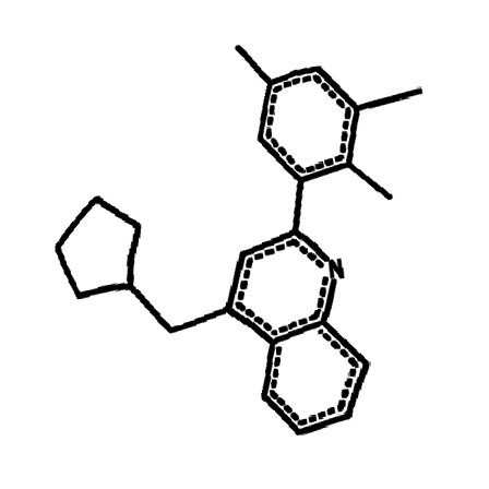 Cc1cc(C)c(C)c(-c2cc(CC3CCCC3)c3ccccc3n2)c1